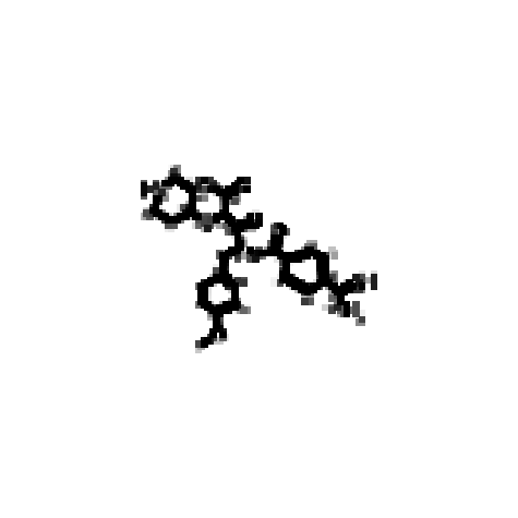 COc1ccc(CC(NC(=O)c2ccc(C(=N)N)cc2)C(=O)C(OC2CCNCC2)C(=O)O)cc1